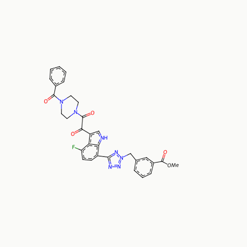 COC(=O)c1cccc(Cn2nnc(-c3ccc(F)c4c(C(=O)C(=O)N5CCN(C(=O)c6ccccc6)CC5)c[nH]c34)n2)c1